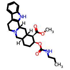 CCCNC(=O)O[C@H]1CC[C@H]2CN3CCc4c([nH]c5ccccc45)[C@@H]3C[C@@H]2[C@H]1C(=O)OC